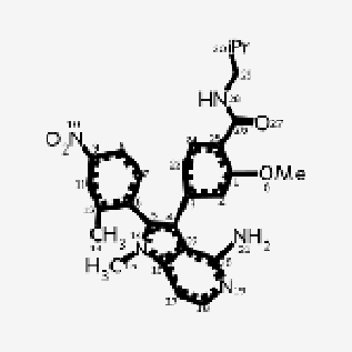 COc1cc(-c2c(-c3ccc([N+](=O)[O-])cc3C)n(C)c3ccnc(N)c23)ccc1C(=O)NCC(C)C